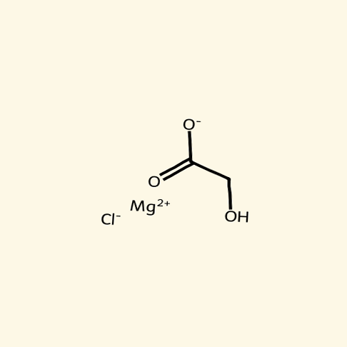 O=C([O-])CO.[Cl-].[Mg+2]